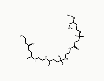 CCCCCCCCCCOC(CCNC(C)(C)CCC(=O)NCCNC(CC)(CC)CCC(=O)NCCNC(C)CCC(=N)CCC(C)C)OCCCCCCCCCC